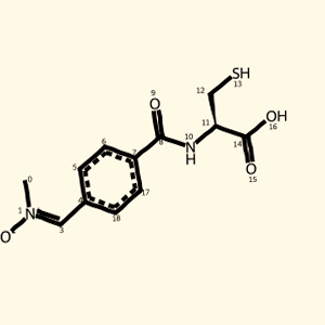 C/[N+]([O-])=C\c1ccc(C(=O)N[C@@H](CS)C(=O)O)cc1